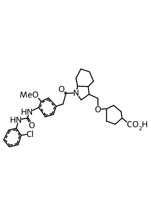 COc1cc(CC(=O)N2CC(COC3CCC(C(=O)O)CC3)C3CCCCC32)ccc1NC(=O)Nc1ccccc1Cl